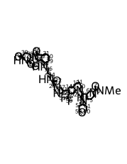 CNC(=O)N1CCc2c(c(N3CCCc4cc(-c5cnn(CC(=O)NCCCNc6cccc7c6C(=O)N(C6CCC(=O)NC6=O)C7=O)c5)c(C(F)F)cc43)nn2C2CCOCC2)C1